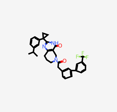 CC(C)c1cccc(C2(c3nc4c(c(=O)[nH]3)CN(C(=O)Cc3cccc(-c5cccc(C(F)(F)F)c5)c3)CCC4)CC2)c1